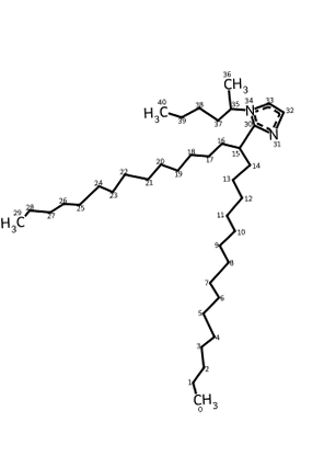 CCCCCCCCCCCCCCCC(CCCCCCCCCCCCCC)c1nccn1C(C)CCCC